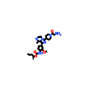 CCC[C@H](C)OC(=O)Nc1ccc(-c2nc(C3CCN(C(=O)CN)CC3)n3ccnc(C)c23)cc1OC